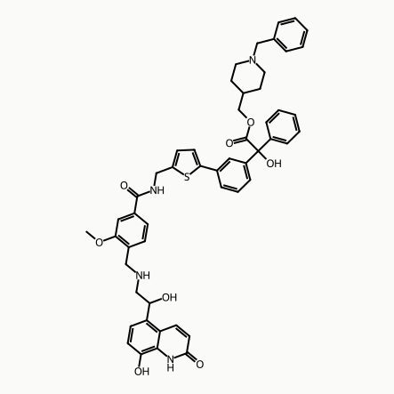 COc1cc(C(=O)NCc2ccc(-c3cccc(C(O)(C(=O)OCC4CCN(Cc5ccccc5)CC4)c4ccccc4)c3)s2)ccc1CNCC(O)c1ccc(O)c2[nH]c(=O)ccc12